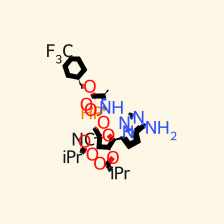 CC(C)C(=O)O[C@H]1[C@H](c2ccc3c(N)ncnn23)O[C@](C#N)(CO[PH](=O)N[C@@H](C)C(=O)OC[C@H]2CC[C@H](C(F)(F)F)CC2)[C@H]1OC(=O)C(C)C